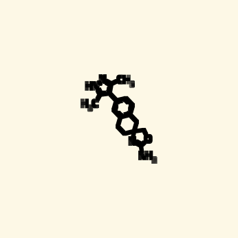 Cc1n[nH]c(C)c1-c1ccc2c(c1)CCC1(COC(N)=N1)C2